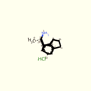 C[C@H](N)c1cccc2c1CCC2.Cl